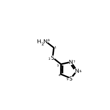 NCSc1csnn1